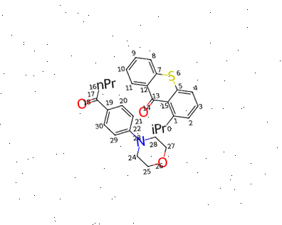 CC(C)c1cccc2sc3ccccc3c(=O)c12.CCCC(=O)c1ccc(N2CCOCC2)cc1